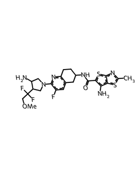 COCC(F)(F)C1CN(c2nc3c(cc2F)CC(NC(=O)c2sc4nc(C)sc4c2N)CC3)CC1N